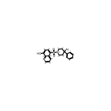 CC(=O)C1(c2ccccc2)CCN(S(=O)(=O)c2ccc(O)c3ncccc23)CC1